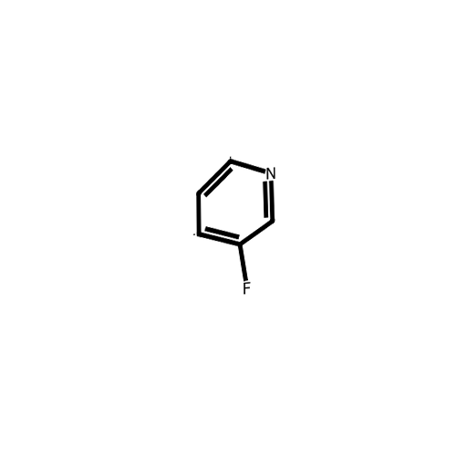 Fc1[c]c[c]nc1